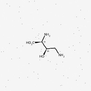 NC[C@@H](O)[C@H](N)C(=O)O